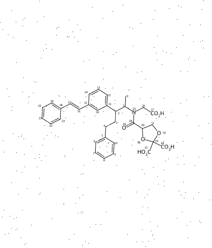 CC(C(CCc1ccccc1)c1cccc(C=Cc2ccccc2)c1)N(CC(=O)O)C(=O)C1COC(C(=O)O)(C(=O)O)O1